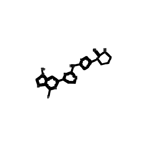 CC(C)n1cnc2c(F)nc(-c3ccnc(Nc4ccc(N5CCCNC5=O)cn4)n3)cc21